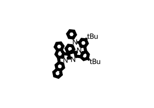 CC(C)(C)c1cc(N(c2ccccc2)c2ccccc2)c2c(c1)c1cc(C(C)(C)C)cc3c4nc5c(cc4n2c13)c1c2ccccc2cc2c3cc4ccccc4cc3n5c21